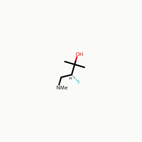 CNC[C@@H](F)C(C)(C)O